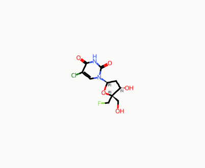 O=c1[nH]c(=O)n([C@H]2C[C@H](O)[C@](CO)(CF)O2)cc1Cl